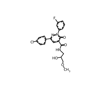 COCC(O)CNC(=O)c1cc(-c2ccc(Cl)cc2)nn(-c2cccc(F)c2)c1=O